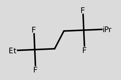 CCC(F)(F)CCC(F)(F)C(C)C